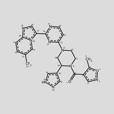 Cc1oncc1C(=O)N1CCN(c2ccnc(-c3cnc4ccc(C(F)(F)F)cn34)n2)CC1c1cn[nH]c1